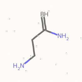 B=C(N)CCN